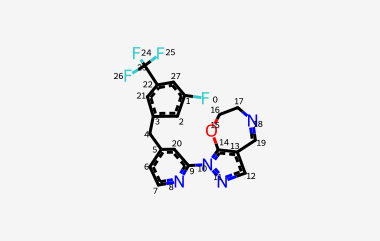 Fc1cc(Cc2ccnc(-n3ncc4c3OCCN=C4)c2)cc(C(F)(F)F)c1